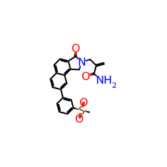 C=C(CN1Cc2c(ccc3ccc(-c4cccc(S(C)(=O)=O)c4)cc23)C1=O)C(N)=O